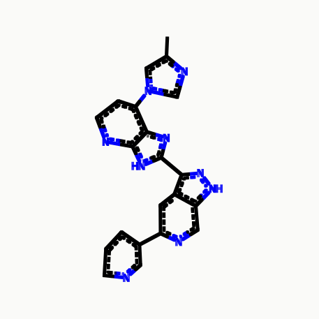 Cc1cn(-c2ccnc3[nH]c(-c4n[nH]c5cnc(-c6cccnc6)cc45)nc23)cn1